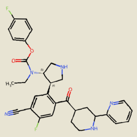 CCN(C(=O)Oc1ccc(F)cc1)[C@@H]1CNC[C@H]1c1cc(C#N)c(F)cc1C(=O)C1CCNC(c2ccccn2)C1